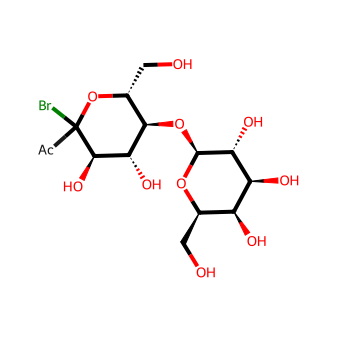 CC(=O)C1(Br)O[C@H](CO)[C@@H](O[C@@H]2O[C@H](CO)[C@H](O)[C@H](O)[C@H]2O)[C@H](O)[C@H]1O